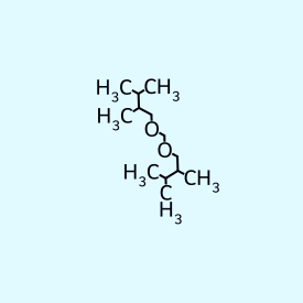 CC(C)C(C)COCOCC(C)C(C)C